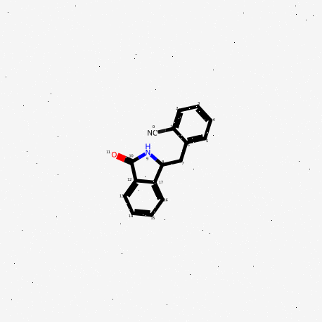 N#Cc1ccccc1CC1NC(=O)c2ccccc21